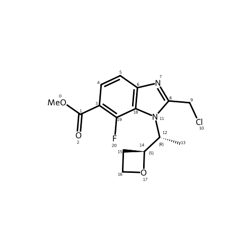 COC(=O)c1ccc2nc(CCl)n([C@H](C)[C@@H]3CCO3)c2c1F